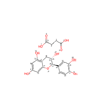 O=C(O)CCC(=O)O.Oc1cc(O)c2c(c1)O[C@H](c1ccc(O)c(O)c1)[C@@H](O)C2